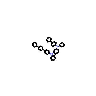 c1ccc(-c2ccc(-c3ccc(-n4c5ccccc5c5ccc(N(c6ccccc6)c6ccc(-c7ccccc7)cc6)cc54)cc3)cc2)cc#1